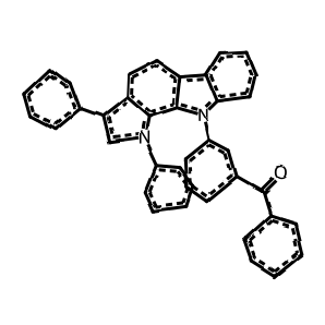 O=C(c1ccccc1)c1cccc(-n2c3ccccc3c3ccc4c(-c5ccccc5)cn(-c5ccccc5)c4c32)c1